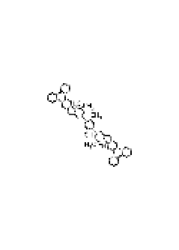 Cc1cc(C2=CC(C)(C)C3=c4cc5c6ccccc6c6ccccc6c5cc4=CC3=C2)c(C)cc1C1=CC(C)(C)C2=c3cc4c5ccccc5c5ccccc5c4cc3=CC2=C1